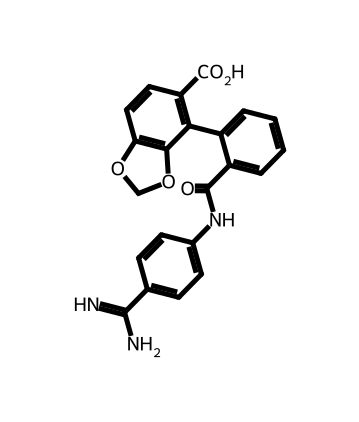 N=C(N)c1ccc(NC(=O)c2ccccc2-c2c(C(=O)O)ccc3c2OCO3)cc1